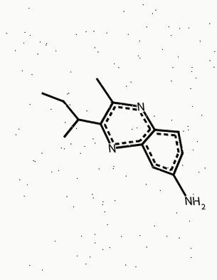 CCC(C)c1nc2cc(N)ccc2nc1C